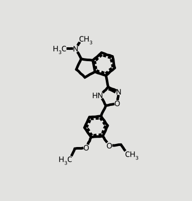 CCOc1ccc(C2NC(c3cccc4c3CCC4N(C)C)=NO2)cc1OCC